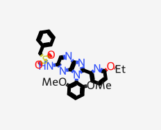 CCOc1cccc(-c2nc3ncc(NS(=O)(=O)Cc4ccccc4)nc3n2-c2c(OC)cccc2OC)n1